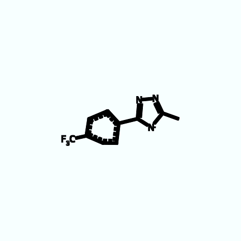 CC1=NN=C(c2ccc(C(F)(F)F)cc2)[N]1